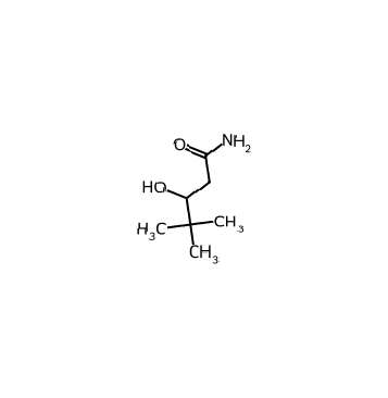 CC(C)(C)C(O)CC(N)=O